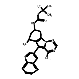 CC1CC(NC(=O)OC(C)(C)C)Cc2c1c(-c1cnc3ccccc3c1)c1c(N)ncnn21